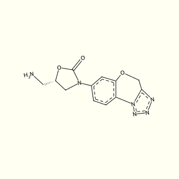 NC[C@H]1CN(c2ccc3c(c2)OCc2nnnn2-3)C(=O)O1